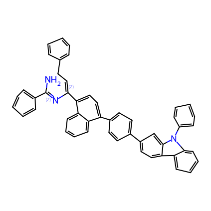 N/C(=N\C(=C/Cc1ccccc1)c1ccc(-c2ccc(-c3ccc4c5ccccc5n(-c5ccccc5)c4c3)cc2)c2ccccc12)c1ccccc1